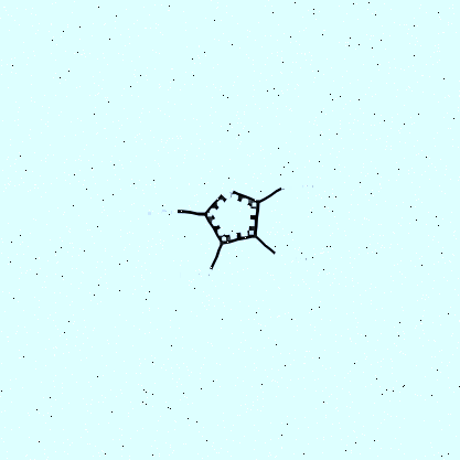 CCCCCCc1sc(CCCCCC)c(CCCCCC)c1CCCCCC